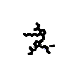 CC/C=C\C[C@H]1C(=O)CC[C@@H]1CC(=O)OC.CCCCCCC1C(=O)CCC1C(=O)OC.[CH2]C